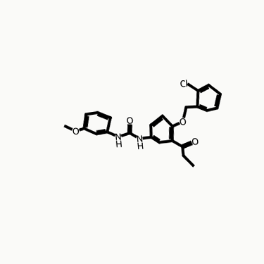 CCC(=O)c1cc(NC(=O)Nc2cccc(OC)c2)ccc1OCc1ccccc1Cl